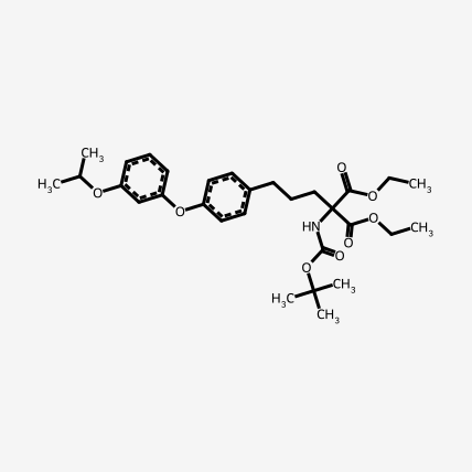 CCOC(=O)C(CCCc1ccc(Oc2cccc(OC(C)C)c2)cc1)(NC(=O)OC(C)(C)C)C(=O)OCC